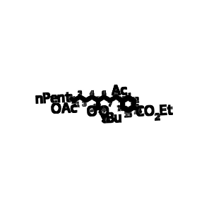 CCCCCC(CCCC(CCC(C(C)=O)c1ccc(C(=O)OCC)cc1)C(=O)OC(C)(C)C)OC(C)=O